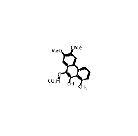 COc1cc2c(OC(=O)O)c(O)c3c(C)cccc3c2cc1OC